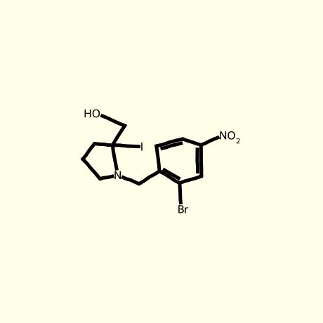 O=[N+]([O-])c1ccc(CN2CCCC2(I)CO)c(Br)c1